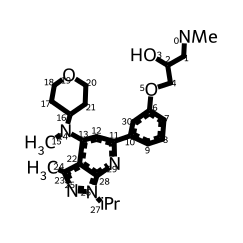 CNCC(O)COc1cccc(-c2cc(N(C)C3CCOCC3)c3c(C)nn(C(C)C)c3n2)c1